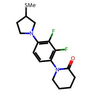 CSC1CCN(c2ccc(N3CCCCC3=O)c(F)c2F)C1